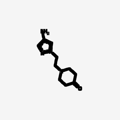 Nc1cnn(CCN2CCC(=O)CC2)c1